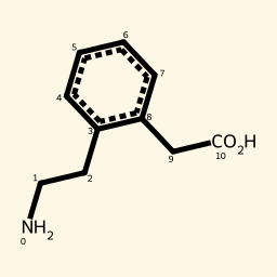 NCCc1ccccc1CC(=O)O